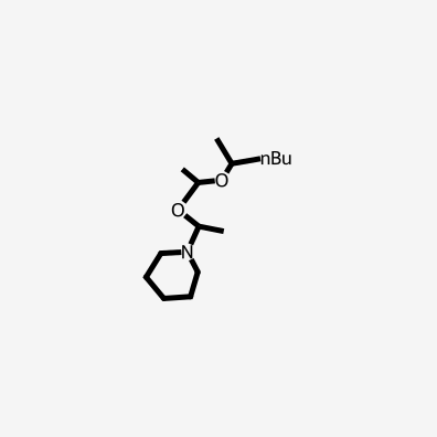 CCCCC(C)OC(C)OC(C)N1CCCCC1